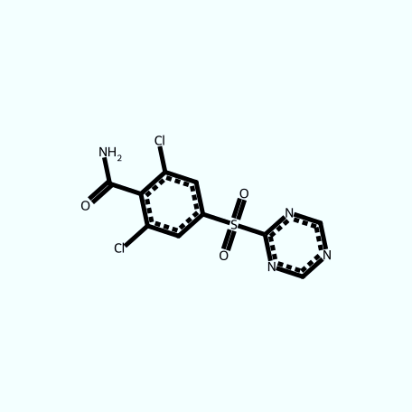 NC(=O)c1c(Cl)cc(S(=O)(=O)c2ncncn2)cc1Cl